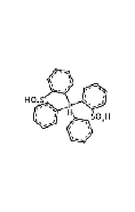 O=S(=O)(O)c1ccccc1[PH](c1ccccc1)(c1ccccc1)c1ccccc1S(=O)(=O)O